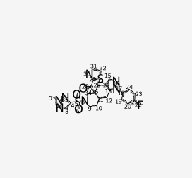 Cn1ncc(S(=O)(=O)N2CCC3=Cc4c(cnn4-c4ccc(F)cc4)CC3(C(=O)c3nccs3)C2)n1